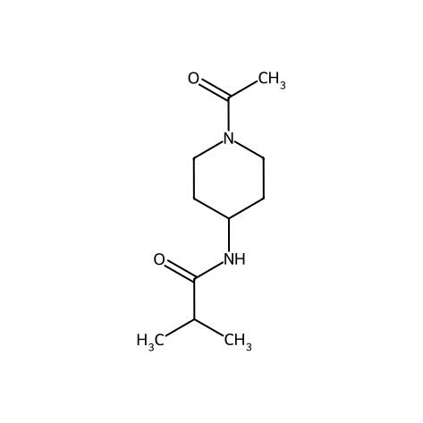 CC(=O)N1CCC(NC(=O)C(C)C)CC1